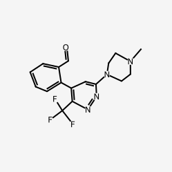 CN1CCN(c2cc(-c3ccccc3C=O)c(C(F)(F)F)nn2)CC1